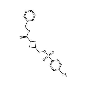 Cc1ccc(S(=O)(=O)OCC2CC(C(=O)OCc3ccccc3)C2)cc1